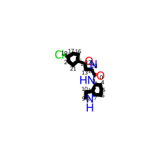 O=C(Nc1cccc2[nH]ccc12)c1cc(-c2ccc(Cl)cc2)on1